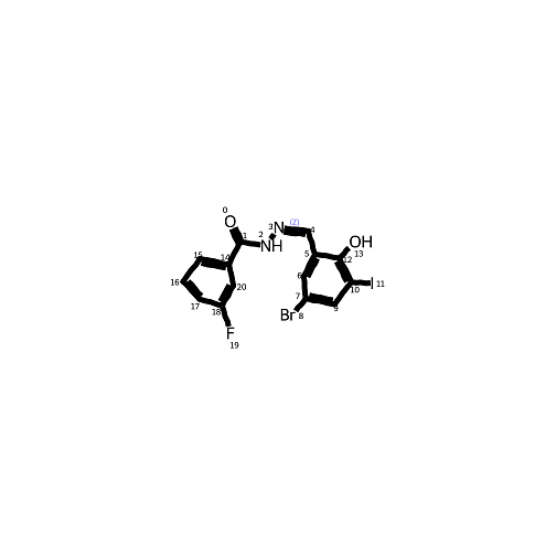 O=C(N/N=C\c1cc(Br)cc(I)c1O)c1cccc(F)c1